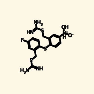 N=C(N)SCc1cc(F)ccc1Sc1ccc([NH+]([O-])O)cc1CSC(=N)N